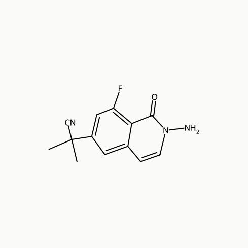 CC(C)(C#N)c1cc(F)c2c(=O)n(N)ccc2c1